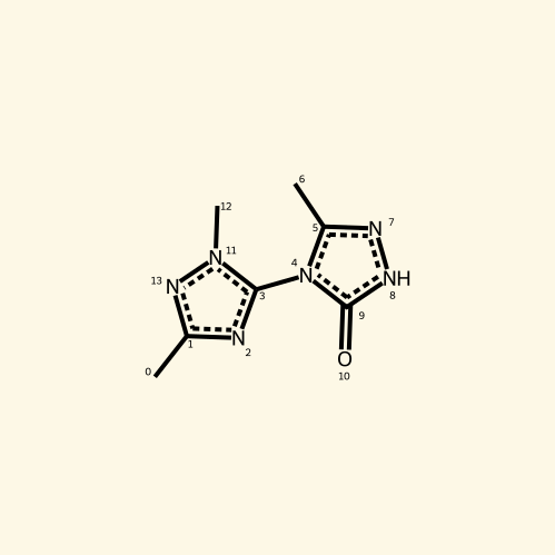 Cc1nc(-n2c(C)n[nH]c2=O)n(C)n1